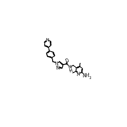 Cc1cc(N)nc(C)c1CNC(=O)c1cnn(Cc2ccc(-c3ccncc3)cc2)c1